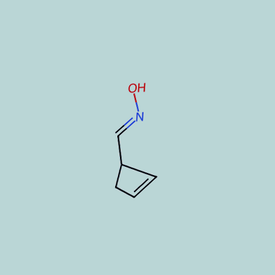 ON=CC1C=CC1